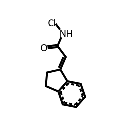 O=C(/C=C1\CCc2ccccc21)NCl